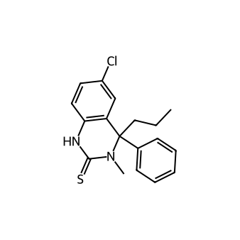 CCCC1(c2ccccc2)c2cc(Cl)ccc2NC(=S)N1C